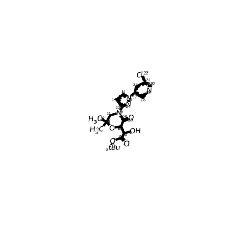 CC(C)(C)OC(=O)C(O)C1OC(C)(C)CN(c2ccn(-c3cnnc(Cl)c3)n2)C1=O